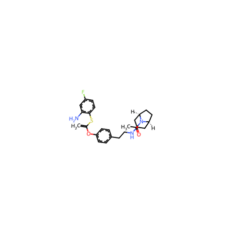 C=C(Oc1ccc(CCN[C@H]2C[C@H]3CC[C@@H](C2)N3C(C)=O)cc1)Sc1ccc(F)cc1N